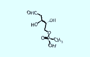 CP(=O)(O)OC[C@@H](O)[C@@H](O)CC=O